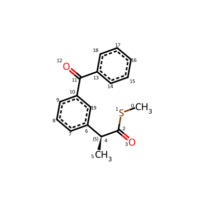 CSC(=O)[C@@H](C)c1cccc(C(=O)c2ccccc2)c1